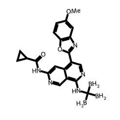 BC(B)(B)Nc1ncc(-c2nc3cc(OC)ccc3o2)c2cc(NC(=O)C3CC3)ncc12